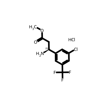 COC(=O)C[C@H](N)c1cc(Cl)cc(C(F)(F)F)c1.Cl